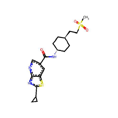 CS(=O)(=O)CC[C@H]1CC[C@H](NC(=O)c2cnc3nc(C4CC4)sc3c2)CC1